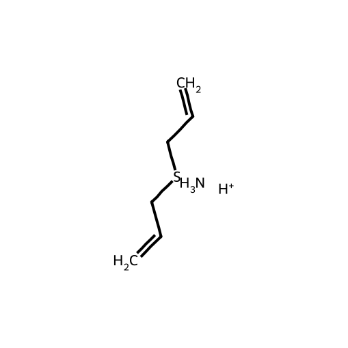 C=CCSCC=C.N.[H+]